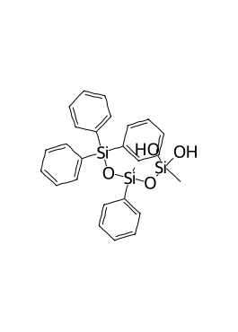 C[Si](O)(O)O[Si](C)(O[Si](c1ccccc1)(c1ccccc1)c1ccccc1)c1ccccc1